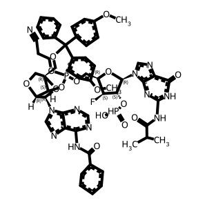 COc1ccc(C(OC[C@@]23CO[C@@H]([C@H](n4cnc5c(NC(=O)c6ccccc6)ncnc54)O2)[C@@H]3OP(=S)(OCCC#N)OC[C@H]2O[C@@H](n3cnc4c(=O)[nH]c(NC(=O)C(C)C)nc43)[C@H](O[PH](=O)O)[C@H]2F)(c2ccccc2)c2ccc(OC)cc2)cc1